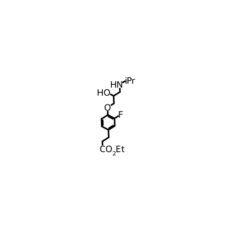 CCOC(=O)CCc1ccc(OCC(O)CNC(C)C)c(F)c1